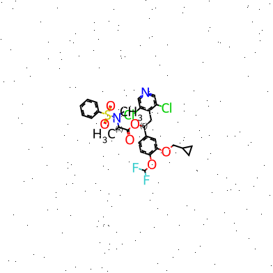 C[C@H](C(=O)O[C@@H](Cc1c(Cl)cncc1Cl)c1ccc(OC(F)F)c(OCC2CC2)c1)N(C)S(=O)(=O)c1ccccc1